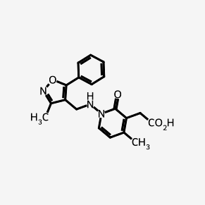 Cc1ccn(NCc2c(C)noc2-c2ccccc2)c(=O)c1CC(=O)O